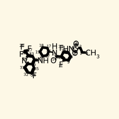 CCCS(=O)(=O)Nc1ccc(F)c(C(=O)N[C@@H]2CCC[C@H](Nc3cc(C(F)(F)F)nc4ccc(F)cc34)C2)c1F